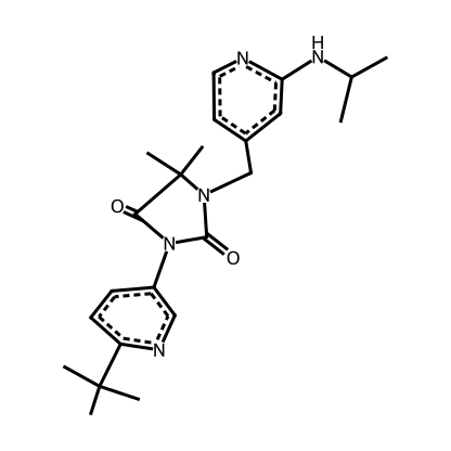 CC(C)Nc1cc(CN2C(=O)N(c3ccc(C(C)(C)C)nc3)C(=O)C2(C)C)ccn1